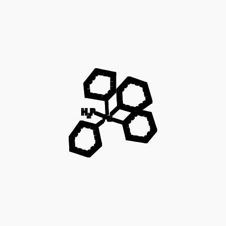 [PH2][Pd]([c]1ccccc1)([c]1ccccc1)([c]1ccccc1)[c]1ccccc1